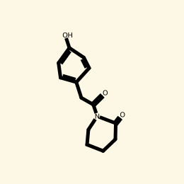 O=C1CCCCN1C(=O)Cc1ccc(O)cc1